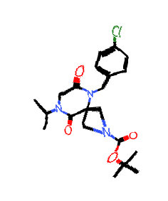 CC(C)N1CC(=O)N(Cc2ccc(Cl)cc2)C2(CN(C(=O)OC(C)(C)C)C2)C1=O